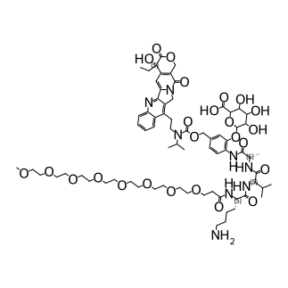 CC[C@@]1(O)C(=O)OCc2c1cc1n(c2=O)Cc2c-1nc1ccccc1c2CCN(C(=O)OCc1ccc(NC(=O)[C@H](C)NC(=O)[C@@H](NC(=O)[C@H](CCCCN)NC(=O)CCOCCOCCOCCOCCOCCOCCOCCOC)C(C)C)c(OC2OC(C(=O)O)C(O)C(O)C2O)c1)C(C)C